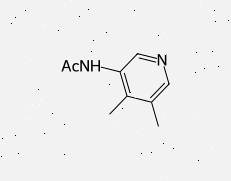 CC(=O)Nc1cncc(C)c1C